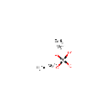 [CaH2].[CaH2].[Mg+2].[Mg+2].[O-][Si]([O-])([O-])[O-]